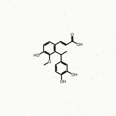 COc1c(O)ccc(C=CC(=O)O)c1C(C)c1ccc(O)c(O)c1